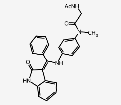 CC(=O)NCC(=O)N(C)c1ccc(NC(=C2C(=O)Nc3ccccc32)c2ccccc2)cc1